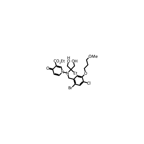 CCOC(=O)c1cn(N(Cc2cc(OCCCOC)c(Cl)cc2Br)C(CC)(CO)CO)ccc1=O